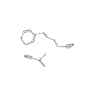 C=C(C)C#N.N#CC=CC=Cc1ccccc1